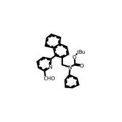 CC(C)(C)OC(=O)N(Cc1ccc2ccccc2c1-c1cccc(C=O)n1)c1ccccc1